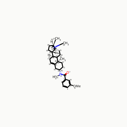 COc1cccc(C(=O)N(C)[C@H]2CC[C@@]3(C)C(=CC[C@@H]4C3CC[C@]35CN(C)[C@@H](C)[C@H]3CC[C@@H]45)C2)c1